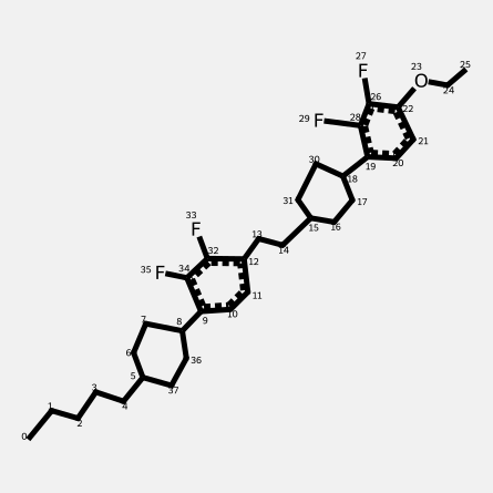 CCCCCC1CCC(c2ccc(CCC3CCC(c4ccc(OCC)c(F)c4F)CC3)c(F)c2F)CC1